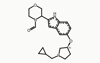 O=CN1CCOCC1c1cc2cc(O[C@H]3CCN(CC4CC4)C3)ccc2[nH]1